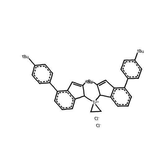 CCCCC1=Cc2c(-c3ccc(C(C)(C)C)cc3)cccc2[CH]1[Ti+2]1([CH]2C(CCCC)=Cc3c(-c4ccc(C(C)(C)C)cc4)cccc32)[CH2][CH2]1.[Cl-].[Cl-]